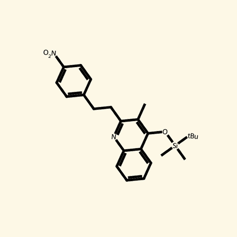 Cc1c(CCc2ccc([N+](=O)[O-])cc2)nc2ccccc2c1O[Si](C)(C)C(C)(C)C